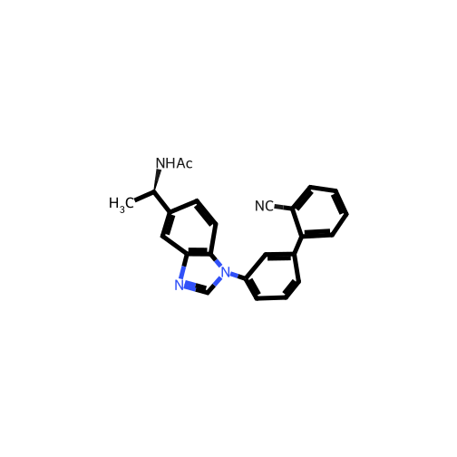 CC(=O)N[C@H](C)c1ccc2c(c1)ncn2-c1cccc(-c2ccccc2C#N)c1